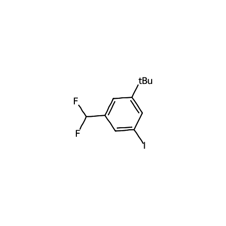 CC(C)(C)c1cc(I)cc(C(F)F)c1